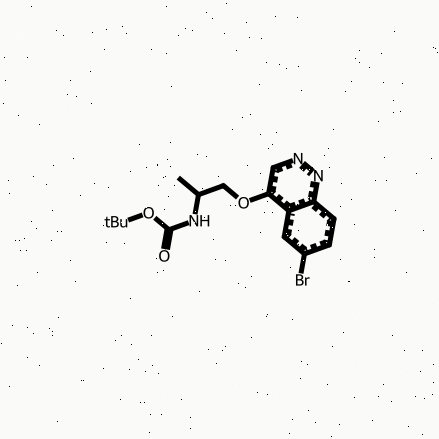 CC(COc1cnnc2ccc(Br)cc12)NC(=O)OC(C)(C)C